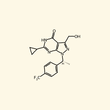 C[C@H](c1ccc(C(F)(F)F)cc1)n1nc(CO)c2c(=O)[nH]c(C3CC3)nc21